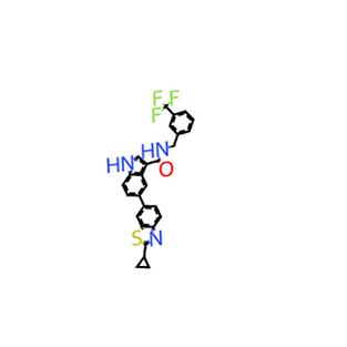 O=C(NCc1cccc(C(F)(F)F)c1)c1c[nH]c2ccc(-c3ccc4nc(C5CC5)sc4c3)cc12